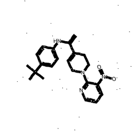 C=C(Nc1ccc(C(C)(C)C)cc1)C1=CCN(c2ncccc2[N+](=O)[O-])CC1